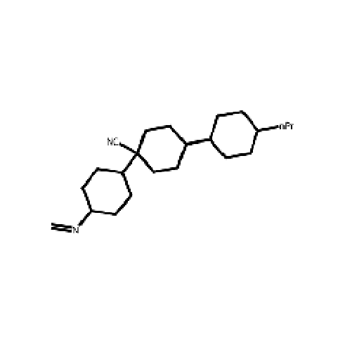 C=NC1CCC(C2(C#N)CCC(C3CCC(CCC)CC3)CC2)CC1